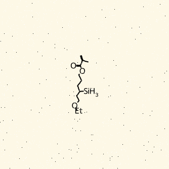 C=C(C)C(=O)OCCCC([SiH3])CCOCC